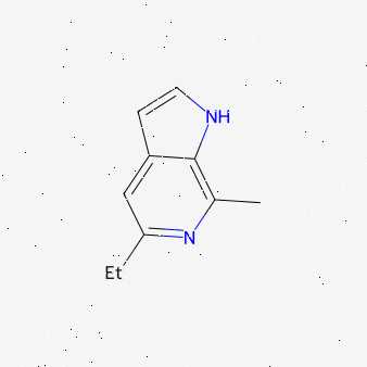 CCc1cc2cc[nH]c2c(C)n1